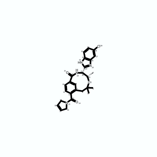 C[C@@H]1OC(C)(C)Cc2cc(ccc2C(=O)N2CC=CC2)C(=O)N[C@@H]1c1nc2cc(Cl)ccc2[nH]1